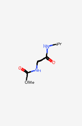 COC(=O)NCC(=O)NC(C)C